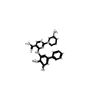 COc1c(Nc2nc(N3CCC[C@H](N)C3)ncc2C(N)=O)cc(-c2ccccc2)cc1C(C)C